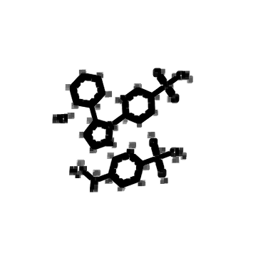 CS(=O)(=O)c1ccc(-n2nccc2-c2ccccc2)nc1.CS(=O)(=O)c1ccc(NN)cn1.Cl